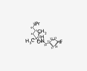 C=CC(C)(CCCC(C)C)ONCc1ccc(F)cc1